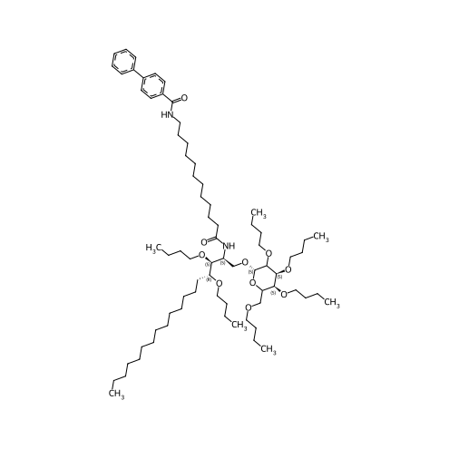 CCCCCCCCCCCCCC[C@@H](OCCCC)[C@@H](OCCCC)[C@H](CO[C@H]1OC(COCCCC)[C@H](OCCCC)[C@H](OCCCC)C1OCCCC)NC(=O)CCCCCCCCCCCNC(=O)c1ccc(-c2ccccc2)cc1